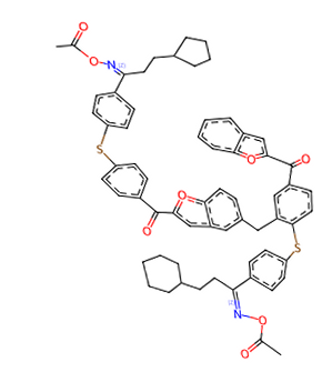 CC(=O)O/N=C(/CCC1CCCCC1)c1ccc(Sc2ccc(C(=O)c3cc4ccccc4o3)cc2Cc2ccc3oc(C(=O)c4ccc(Sc5ccc(/C(CCC6CCCC6)=N\OC(C)=O)cc5)cc4)cc3c2)cc1